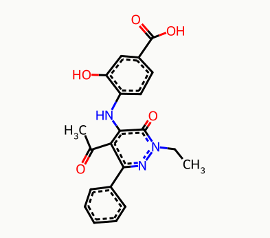 CCn1nc(-c2ccccc2)c(C(C)=O)c(Nc2ccc(C(=O)O)cc2O)c1=O